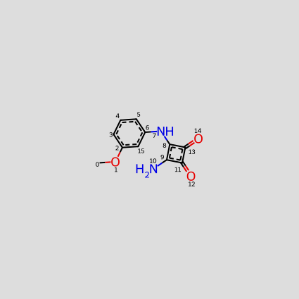 COc1cccc(Nc2c(N)c(=O)c2=O)c1